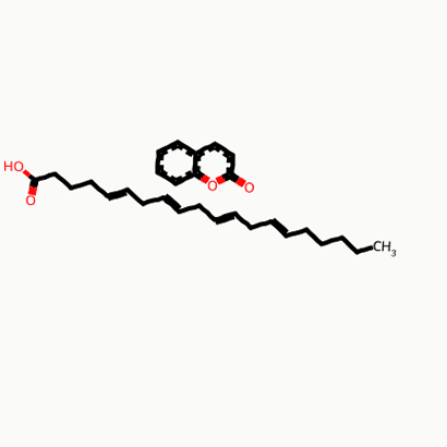 CCCCCC=CCC=CCC=CCC=CCCCC(=O)O.O=c1ccc2ccccc2o1